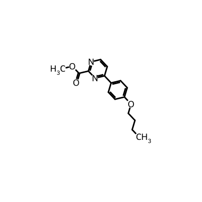 CCCCOc1ccc(-c2ccnc(C(=O)OC)n2)cc1